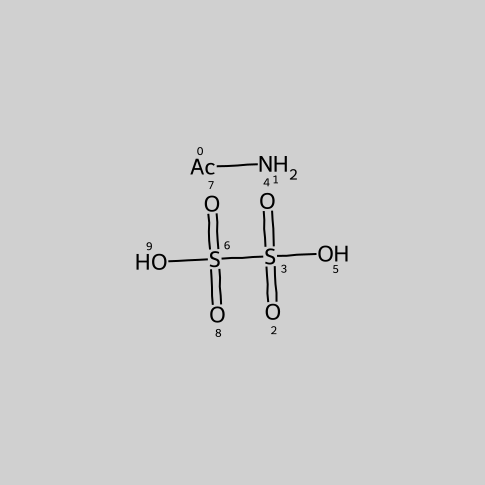 CC(N)=O.O=S(=O)(O)S(=O)(=O)O